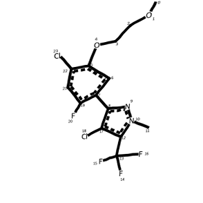 COCCOc1cc(-c2nn(C)c(C(F)(F)F)c2Cl)c(F)cc1Cl